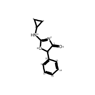 O=C1N=C(NC2CC2)OC1c1ccccc1